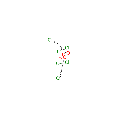 O=C(OOC(=O)C(Cl)C(Cl)CCCCCCl)C(Cl)C(Cl)CCCCCCl